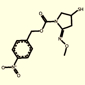 CON=C1CC(S)CN1C(=O)OCc1ccc([N+](=O)[O-])cc1